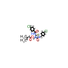 CCC(C)CC(=O)OCN1C(=O)N(Cc2ccc(Cl)cc2)SC1NC(=O)c1ccc(Cl)cc1